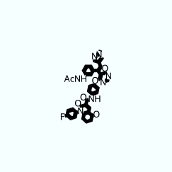 CC(=O)Nc1cccc(-c2c(-c3cnn(C)c3)oc3ncnc(Oc4ccc(NC(=O)c5cc6c(n(-c7ccc(F)cc7)c5=O)CCCC6=O)cc4)c23)c1